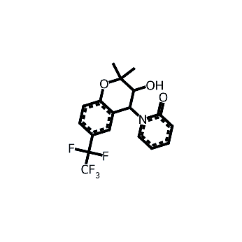 CC1(C)Oc2ccc(C(F)(F)C(F)(F)F)cc2C(n2ccccc2=O)C1O